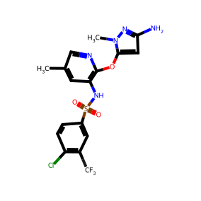 Cc1cnc(Oc2cc(N)nn2C)c(NS(=O)(=O)c2ccc(Cl)c(C(F)(F)F)c2)c1